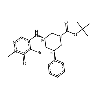 Cn1ncc(N[C@@H]2C[C@H](c3ccccc3)CN(C(=O)OC(C)(C)C)C2)c(Br)c1=O